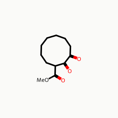 COC(=O)C1CCCCCCCC(=O)C1=O